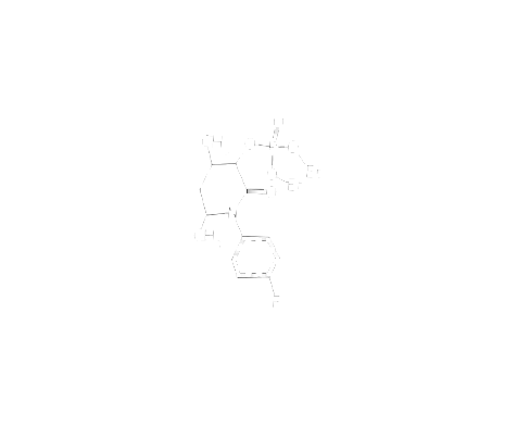 CCOP(=O)(OCC)OC1C(=O)N(c2ccc(F)cc2)C(C)CC1C